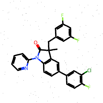 CC1(Cc2cc(F)cc(F)c2)C(=O)N(c2ccccn2)c2ccc(-c3ccc(F)c(Cl)c3)cc21